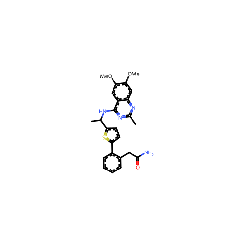 COc1cc2nc(C)nc(NC(C)c3ccc(-c4ccccc4CC(N)=O)s3)c2cc1OC